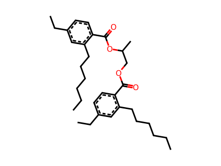 CCCCCCc1cc(CC)ccc1C(=O)OCC(C)OC(=O)c1ccc(CC)cc1CCCCCC